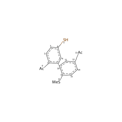 CC(=O)c1ccc(S)cc1.CSc1ccc(C(C)=O)cc1